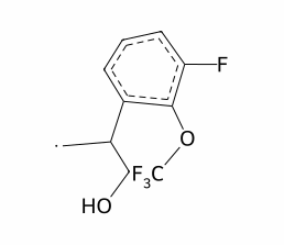 [CH2]C(CO)c1cccc(F)c1OC(F)(F)F